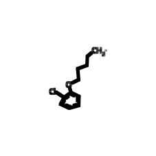 [CH2]CCCCOc1ccccc1Cl